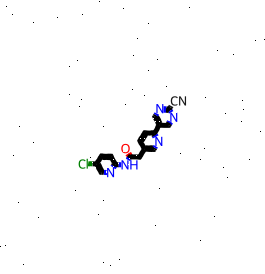 N#Cc1ncc(-c2ccc(CC(=O)Nc3ccc(Cl)cn3)cn2)cn1